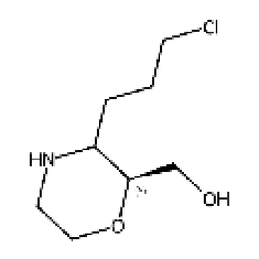 OC[C@H]1OCCNC1CCCCl